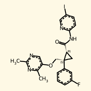 Cc1ncc(OC[C@@]2(c3cccc(F)c3)C[C@H]2C(=O)Nc2ccc(I)cn2)c(C)n1